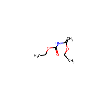 C=C(NC(=O)OCC)OCC